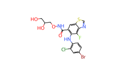 O=C(NOCC(O)CO)c1cc2scnc2c(F)c1Nc1ccc(Br)cc1Cl